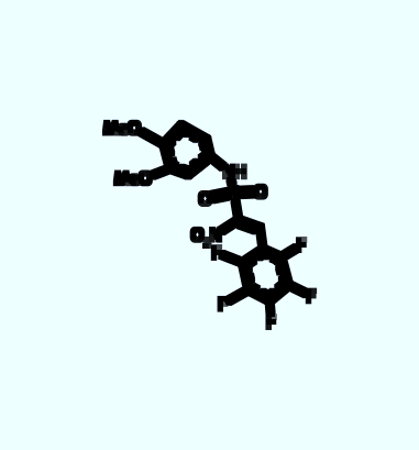 COc1ccc(NS(=O)(=O)C(=Cc2c(F)c(F)c(F)c(F)c2F)[N+](=O)[O-])cc1OC